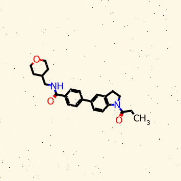 CCC(=O)N1CCc2cc(-c3ccc(C(=O)NCC4CCOCC4)cc3)ccc21